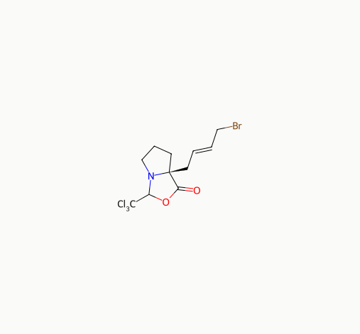 O=C1OC(C(Cl)(Cl)Cl)N2CCC[C@]12C/C=C/CBr